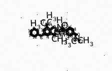 CC(C)c1cc(CC2CCCCC2)cc(C(C)C)c1CC(=O)NS(=O)(=O)c1ccc(CN(C)C)cc1